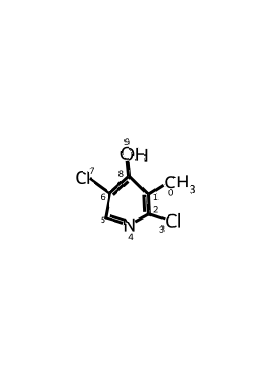 Cc1c(Cl)ncc(Cl)c1O